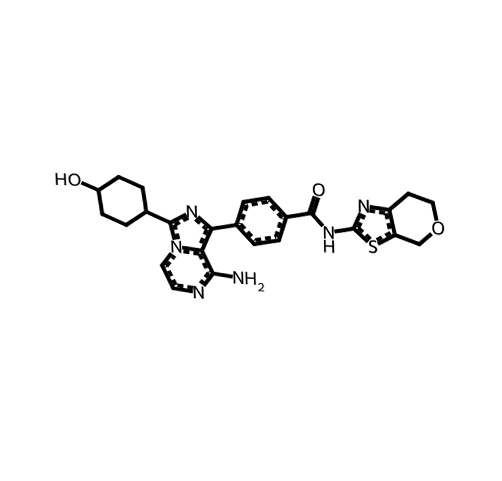 Nc1nccn2c(C3CCC(O)CC3)nc(-c3ccc(C(=O)Nc4nc5c(s4)COCC5)cc3)c12